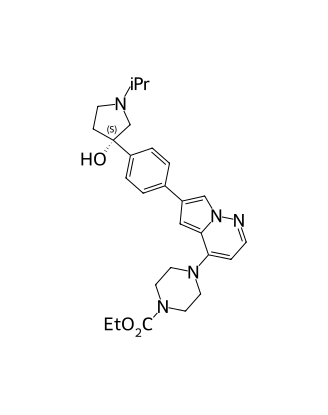 CCOC(=O)N1CCN(c2ccnn3cc(-c4ccc([C@@]5(O)CCN(C(C)C)C5)cc4)cc23)CC1